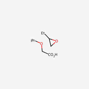 CC(C)OCC(=O)O.CCC1CO1